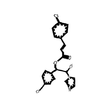 O=C(C=Cc1ccc(Cl)cc1)OC(c1ccc(Cl)cc1)C(Cl)n1ccnc1